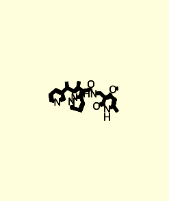 COc1cc(C)[nH]c(=O)c1CNC(=O)c1c(C)c(C(C)c2cccnc2)n2ncccc12